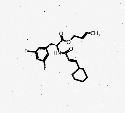 C/C=C/COC(=O)[C@H](Cc1cc(F)cc(F)c1)NC(=O)/C=C/C1CCCCC1